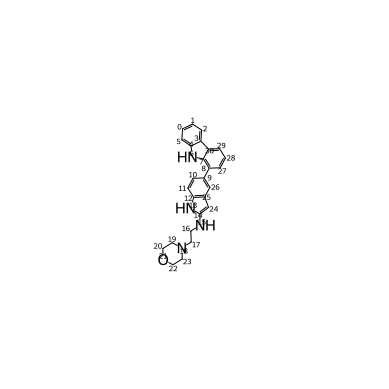 c1ccc2c(c1)[nH]c1c(-c3ccc4[nH]c(NCCN5CCOCC5)cc4c3)cccc12